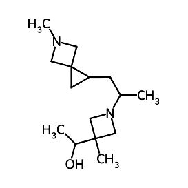 CC(CC1CC12CN(C)C2)N1CC(C)(C(C)O)C1